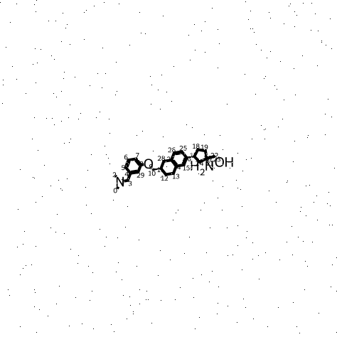 CN(C)Cc1cccc(OC[C@@H]2CCc3cc([C@H]4CC[C@](N)(CO)C4)ccc3C2)c1